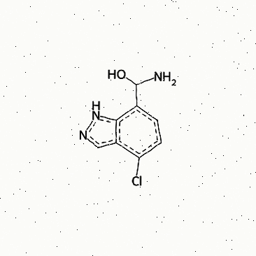 NC(O)c1ccc(Cl)c2cn[nH]c12